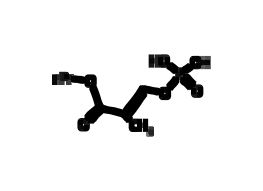 CCCOC(=O)C(C)=COP(=O)(O)O